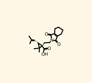 CC(C)=C[C@H]1C(C)(C)[C@@]1(CCN1C(=O)C2=C(CCCC2)C1=O)C(=O)O